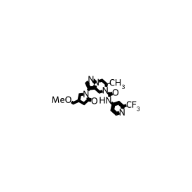 COCC1CC(=O)N(c2cnn3c2CN(C(=O)Nc2ccnc(C(F)(F)F)c2)[C@@H](C)C3)C1